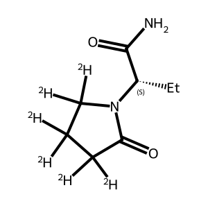 [2H]C1([2H])C(=O)N([C@@H](CC)C(N)=O)C([2H])([2H])C1([2H])[2H]